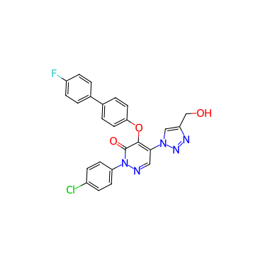 O=c1c(Oc2ccc(-c3ccc(F)cc3)cc2)c(-n2cc(CO)nn2)cnn1-c1ccc(Cl)cc1